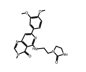 COc1ccc(-c2cc3ncn(C)c(=O)c3c(NCCN3CCNC3=O)n2)cc1OC